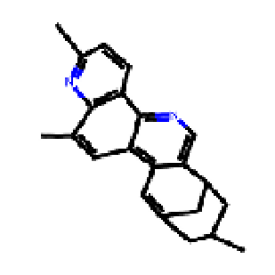 Cc1ccc2c(n1)c(C)cc1c3c(cnc12)C1CC(=C3)CC(C)C1